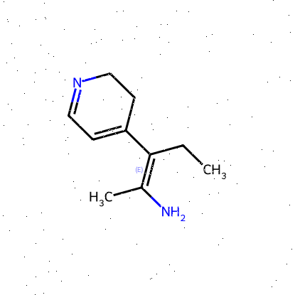 CC/C(C1=CC=NCC1)=C(/C)N